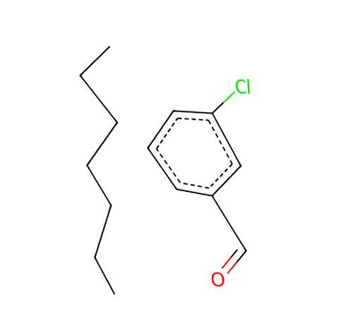 CCCCCCC.O=Cc1cccc(Cl)c1